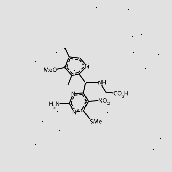 COc1c(C)cnc(C(NCC(=O)O)c2nc(N)nc(SC)c2[N+](=O)[O-])c1C